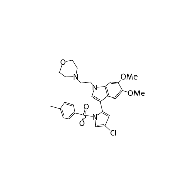 COc1cc2c(-c3cc(Cl)cn3S(=O)(=O)c3ccc(C)cc3)cn(CCN3CCOCC3)c2cc1OC